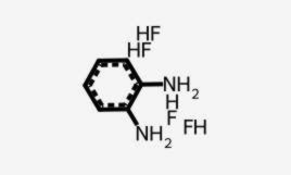 F.F.F.F.Nc1ccccc1N